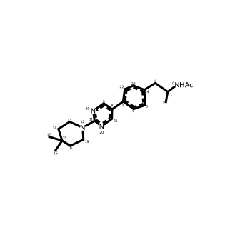 CC(=O)NC(C)Cc1ccc(-c2cnc(N3CCC(C)(C)CC3)nc2)cc1